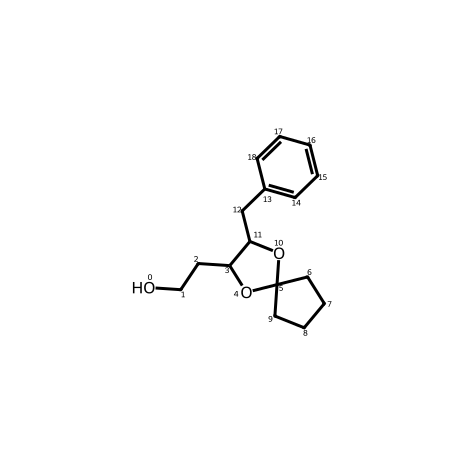 OCCC1OC2(CCCC2)OC1Cc1ccccc1